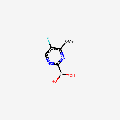 COc1nc(B(O)O)ncc1F